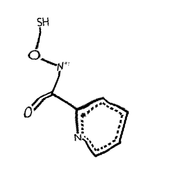 O=C([N+]OS)c1ccccn1